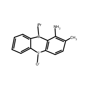 Cc1ccc2c(c1N)B(C(C)C)c1ccccc1[S+]2[O-]